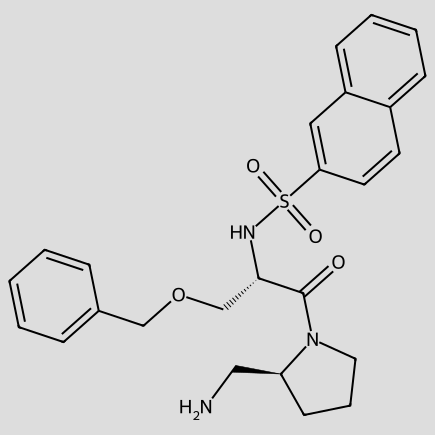 NC[C@@H]1CCCN1C(=O)[C@H](COCc1ccccc1)NS(=O)(=O)c1ccc2ccccc2c1